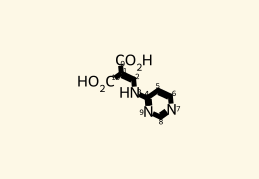 O=C(O)C(=CNc1ccncn1)C(=O)O